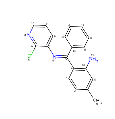 Cc1ccc(C(=Nc2cccnc2Cl)c2ccccc2)c(N)c1